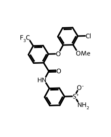 COc1c(Cl)cccc1Oc1cc(C(F)(F)F)ccc1C(=O)Nc1cccc([S+](N)[O-])c1